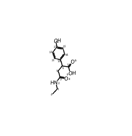 CCNC(=O)CC(C(=O)O)c1ccc(O)cc1